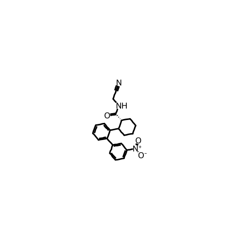 N#CCNC(=O)[C@@H]1CCCCC1c1ccccc1-c1cccc([N+](=O)[O-])c1